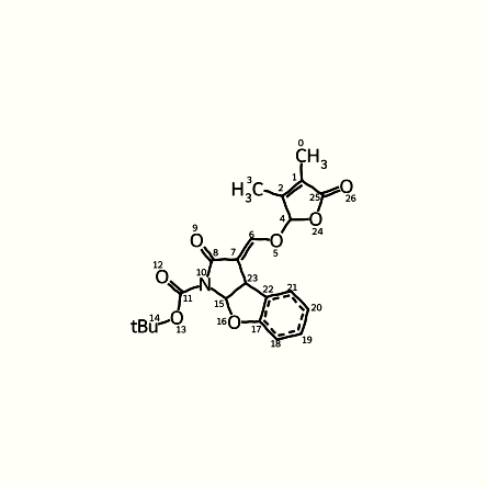 CC1=C(C)C(O/C=C2/C(=O)N(C(=O)OC(C)(C)C)C3Oc4ccccc4C23)OC1=O